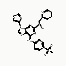 CN(Cc1ccccn1)c1nc(Nc2ccc(S(C)(=O)=O)cc2)c2ncn(-c3cscn3)c2n1